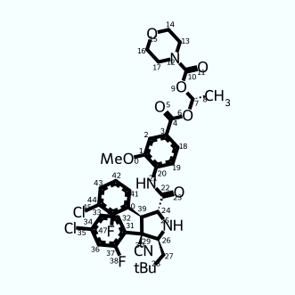 COc1cc(C(=O)O[C@@H](C)OC(=O)N2CCOCC2)ccc1NC(=O)[C@@H]1N[C@@H](CC(C)(C)C)[C@](C#N)(c2ccc(Cl)cc2F)[C@H]1c1cccc(Cl)c1F